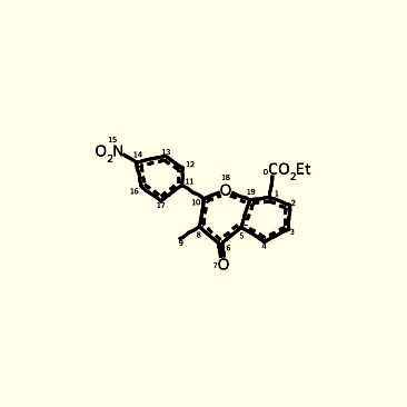 CCOC(=O)c1cccc2c(=O)c(C)c(-c3ccc([N+](=O)[O-])cc3)oc12